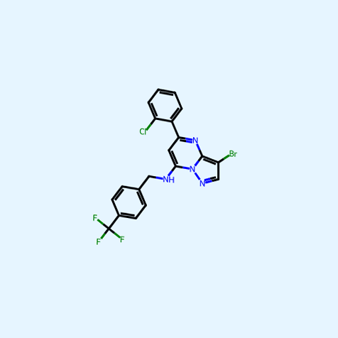 FC(F)(F)c1ccc(CNc2cc(-c3ccccc3Cl)nc3c(Br)cnn23)cc1